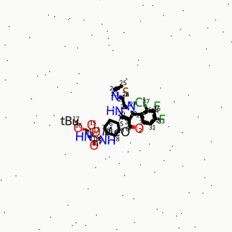 COC(=O)C1=C([C@H]2CC[C@H](NS(=O)(=O)NC(=O)OC(C)(C)C)CC2)NC(c2nccs2)=NC1c1ccc(F)c(F)c1Cl